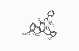 COc1cccc(-c2c(C)c(Cc3c(Cl)cccc3Cl)nn(CC(N)c3ccccc3)c2=O)c1Cl